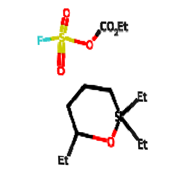 CCC1CCC[Si](CC)(CC)O1.CCOC(=O)OS(=O)(=O)F